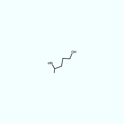 CC([NH])CCCO